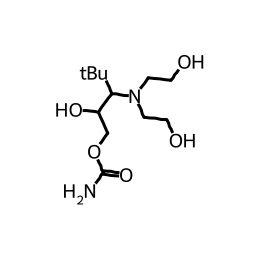 CC(C)(C)C(C(O)COC(N)=O)N(CCO)CCO